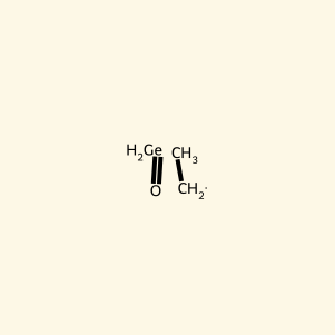 [CH2]C.[O]=[GeH2]